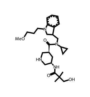 COCCCN1CC(CN(C(=O)[C@@H]2CNC[C@H](NC(=O)C(C)(C)CO)C2)C2CC2)c2ccccc21